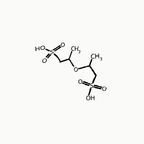 CC(CS(=O)(=O)O)OC(C)CS(=O)(=O)O